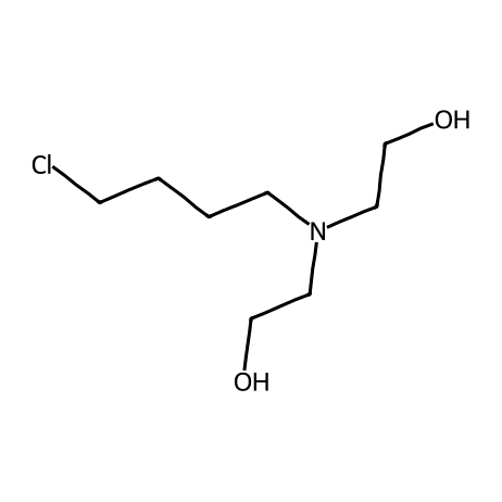 OCCN(CCO)CCCCCl